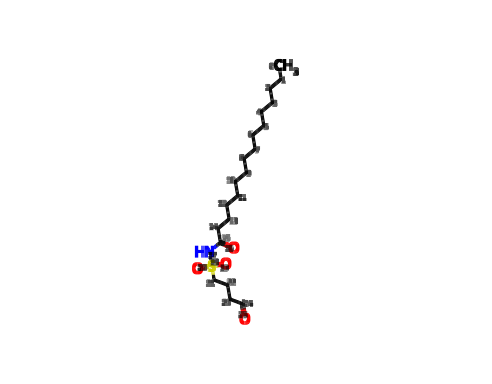 CCCCCCCCCCCCCCCC(=O)NS(=O)(=O)CCC[C]=O